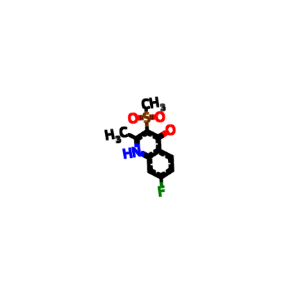 Cc1[nH]c2cc(F)ccc2c(=O)c1S(C)(=O)=O